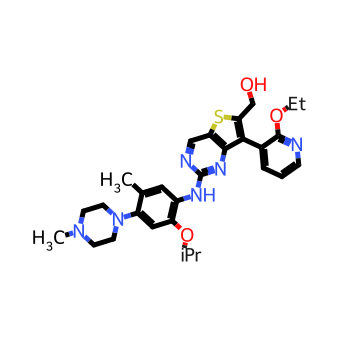 CCOc1ncccc1-c1c(CO)sc2cnc(Nc3cc(C)c(N4CCN(C)CC4)cc3OC(C)C)nc12